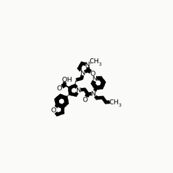 CCCCN(C(=O)CN1C[C@H](c2ccc3c(c2)CCO3)[C@@H](C(=O)O)[C@@H]1CCN1CCN(C)C1=O)c1cccnc1